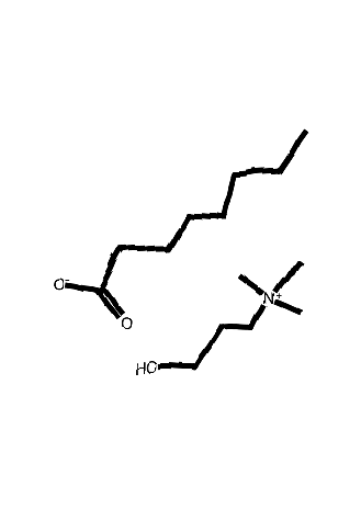 CCCCCCCC(=O)[O-].C[N+](C)(C)CCCO